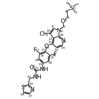 C[Si](C)(C)CCOCn1cc(Cl)c2c(Oc3c(F)cc(NC(=O)NCc4nccs4)cc3F)ccnc21